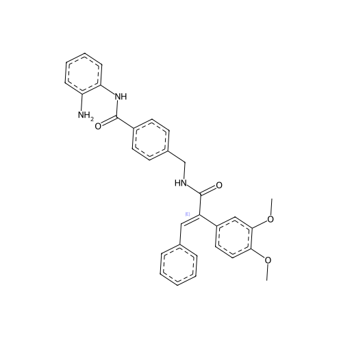 COc1ccc(/C(=C\c2ccccc2)C(=O)NCc2ccc(C(=O)Nc3ccccc3N)cc2)cc1OC